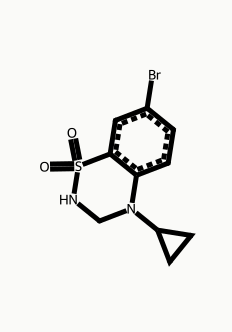 O=S1(=O)NCN(C2CC2)c2ccc(Br)cc21